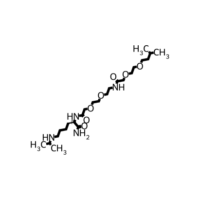 CC(C)CCOCCOCC(=O)NCCOCCOCC(=O)N[C@H](CCCCNC(C)C)C(N)=O